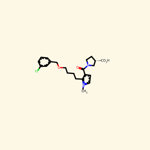 Cn1ccc(C(=O)N2CC[C@H](C(=O)O)C2)c1CCCCOCc1cccc(Cl)c1